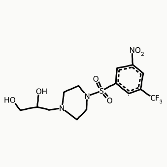 O=[N+]([O-])c1cc(C(F)(F)F)[c]c(S(=O)(=O)N2CCN(CC(O)CO)CC2)c1